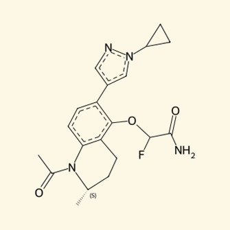 CC(=O)N1c2ccc(-c3cnn(C4CC4)c3)c(OC(F)C(N)=O)c2CC[C@@H]1C